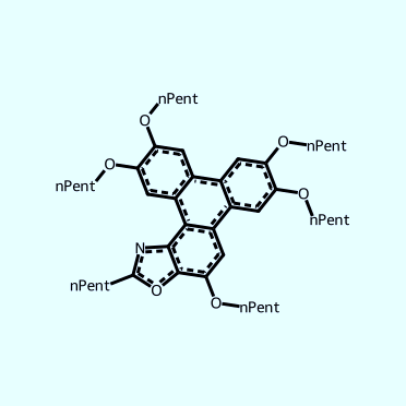 CCCCCOc1cc2c3cc(OCCCCC)c(OCCCCC)cc3c3c(cc(OCCCCC)c4oc(CCCCC)nc43)c2cc1OCCCCC